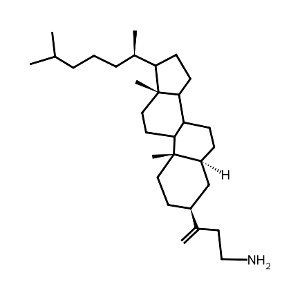 C=C(CCN)[C@H]1CC[C@]2(C)C3CC[C@@]4(C)C(CCC4[C@H](C)CCCC(C)C)C3CC[C@H]2C1